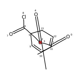 O=C1OC(=O)C2(C(=O)Cl)C=CC1=CC2